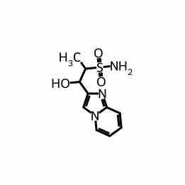 CC(C(O)c1cn2ccccc2n1)S(N)(=O)=O